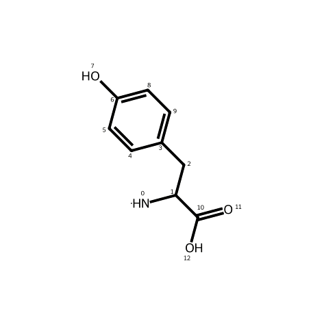 [NH]C(Cc1ccc(O)cc1)C(=O)O